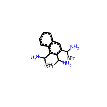 CCCC(N)c1cc2ccccc2c(C(N)CCC)c1C(N)CCC